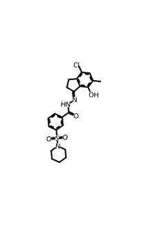 Cc1cc(Cl)c2c(c1O)/C(=N/NC(=O)c1cccc(S(=O)(=O)N3CCCCC3)c1)CC2